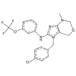 CN1COCc2c1nc(Nc1cccc(OC(F)(F)F)c1)n2Cc1ccc(Cl)cc1